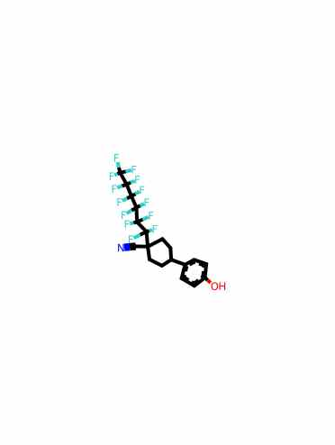 N#CC1(C(F)(F)C(F)(F)C(F)(F)C(F)(F)C(F)(F)C(F)(F)F)CCC(c2ccc(O)cc2)CC1